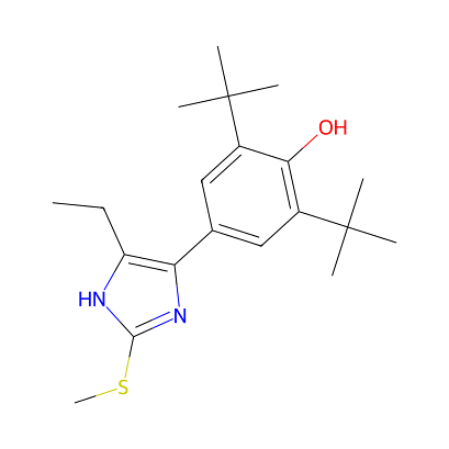 CCc1[nH]c(SC)nc1-c1cc(C(C)(C)C)c(O)c(C(C)(C)C)c1